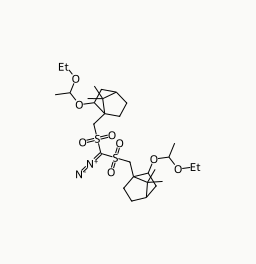 CCOC(C)OC1CC2CCC1(CS(=O)(=O)C(=[N+]=[N-])S(=O)(=O)CC13CCC(CC1OC(C)OCC)C3(C)C)C2(C)C